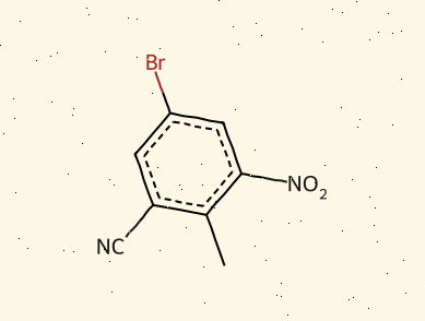 Cc1c(C#N)cc(Br)cc1[N+](=O)[O-]